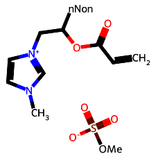 C=CC(=O)OC(CCCCCCCCC)C[n+]1ccn(C)c1.COS(=O)(=O)[O-]